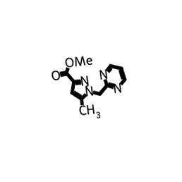 COC(=O)c1cc(C)n(Cc2ncccn2)n1